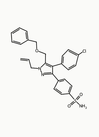 C=CCn1nc(-c2ccc(S(N)(=O)=O)cc2)c(-c2ccc(Cl)cc2)c1COCc1ccccc1